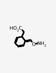 NOC=C1C=CC=CC1CC(=O)O